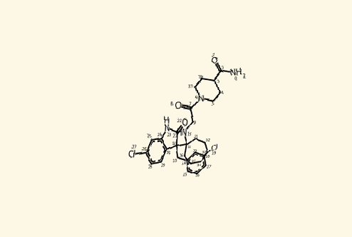 NC(=O)C1CCN(C(=O)CNC2(C3(Cc4cccc(Cl)c4)C(=O)Nc4cc(Cl)ccc43)CCCCCC2)CC1